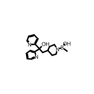 CB(O)N1CCC(CC(O)(c2ccccn2)c2ccccn2)CC1